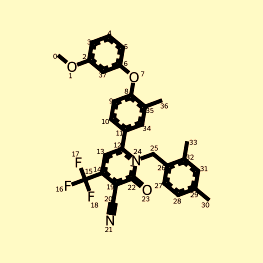 COc1cccc(Oc2ccc(-c3cc(C(F)(F)F)c(C#N)c(=O)n3Cc3ccc(C)cc3C)cc2C)c1